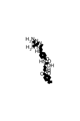 CC(C)c1ccc(C(=O)NCCC[C@H](NC(=O)c2ccc(NCc3cnc4nc(N)nc(N)c4n3)cc2)C(=O)O)c(O)c1